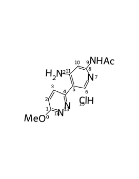 COc1ccc(-c2cnc(NC(C)=O)cc2N)nn1.Cl